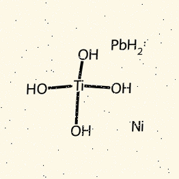 [Ni].[OH][Ti]([OH])([OH])[OH].[PbH2]